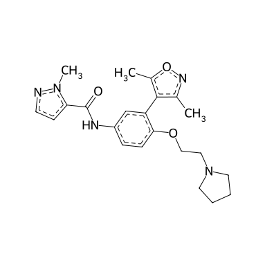 Cc1noc(C)c1-c1cc(NC(=O)c2ccnn2C)ccc1OCCN1CCCC1